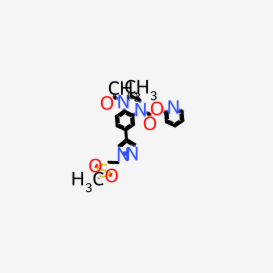 CC(=O)N1c2ccc(-c3cnn(CCS(C)(=O)=O)c3)cc2N(C(=O)Oc2ccccn2)C[C@@H]1C